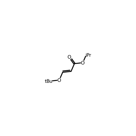 CC(C)OC(=O)C=COC(C)(C)C